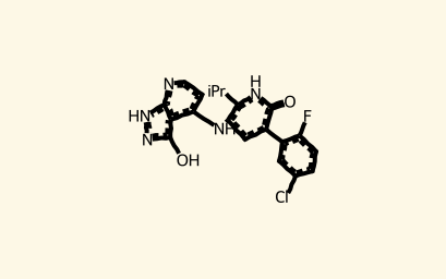 CC(C)c1[nH]c(=O)c(-c2cc(Cl)ccc2F)cc1Nc1ccnc2[nH]nc(O)c12